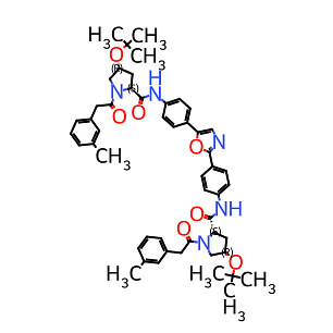 Cc1cccc(CC(=O)N2C[C@H](OC(C)(C)C)C[C@H]2C(=O)Nc2ccc(-c3cnc(-c4ccc(NC(=O)[C@@H]5C[C@@H](OC(C)(C)C)CN5C(=O)Cc5cccc(C)c5)cc4)o3)cc2)c1